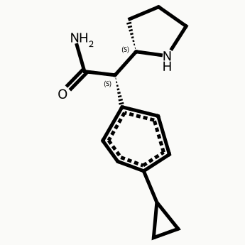 NC(=O)[C@@H](c1ccc(C2CC2)cc1)[C@@H]1CCCN1